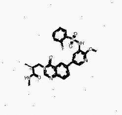 CNC(=O)[C@@H](C)Cn1cnc2ccc(-c3cnc(OC)c(NS(=O)(=O)c4ccccc4F)c3)cc2c1=O